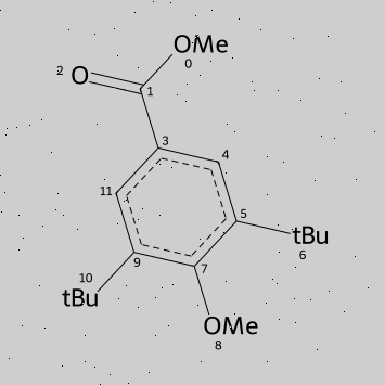 COC(=O)c1cc(C(C)(C)C)c(OC)c(C(C)(C)C)c1